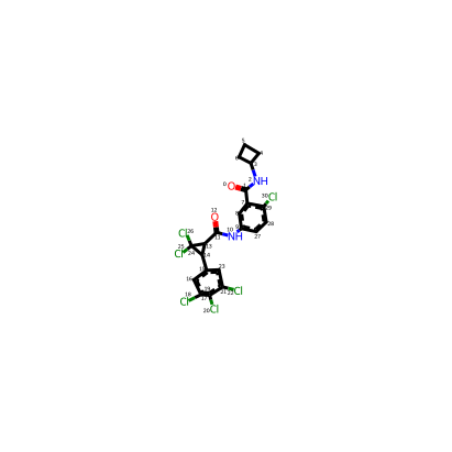 O=C(NC1CCC1)c1cc(NC(=O)C2C(c3cc(Cl)c(Cl)c(Cl)c3)C2(Cl)Cl)ccc1Cl